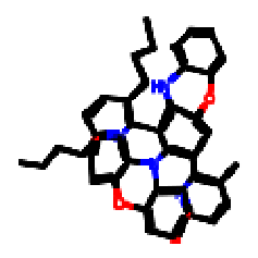 CCCCc1ccc(CCCC)c(-c2c3c(cc(-c4nc(C)ccc4C)c2N2c4ccccc4Oc4ccccc42)Oc2ccccc2N3)n1